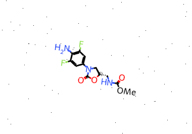 COC(=O)NC[C@H]1CN(c2cc(F)c(N)c(F)c2)C(=O)O1